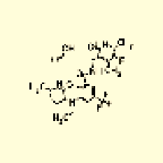 CCN(c1cc(C(F)(F)F)cc(C(=O)NCc2c(C)c(F)c(C)[nH]c2=O)c1C)C1CCN(C)CC1.O=CO